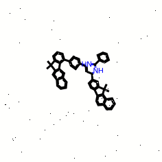 CC1(C)c2cc3ccccc3cc2-c2c(-c3ccc(C4=CC(c5ccc6c(c5)C(C)(C)c5c-6ccc6ccccc56)NC(c5ccccc5)N4)cc3)cccc21